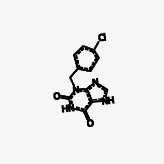 O=c1[nH]c(=O)n(Cc2ccc(Cl)cc2)c2nc[nH]c12